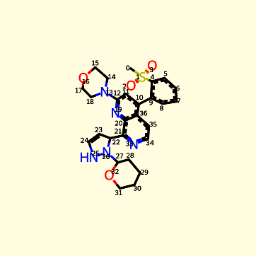 CS(=O)(=O)c1ccccc1-c1cc(N2CCOCC2)nc2c(C3C=CNN3C3CCCCO3)nccc12